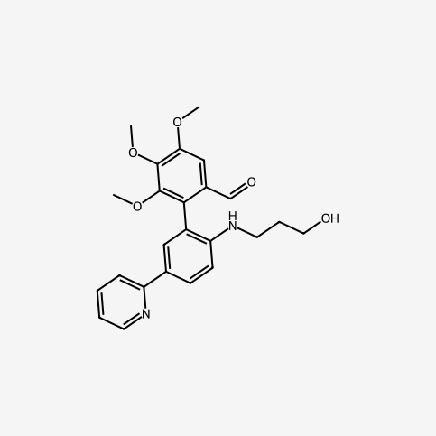 COc1cc(C=O)c(-c2cc(-c3ccccn3)ccc2NCCCO)c(OC)c1OC